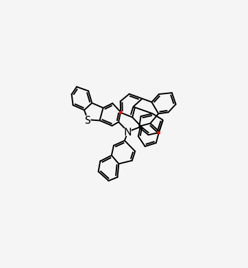 c1ccc2c(c1)-c1cccc3c1-c1cc(N(c4ccc5ccccc5c4)c4ccc5c(c4)sc4ccccc45)ccc1-c1cccc-3c1-2